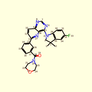 CC1(C)CN(c2ncnc3ccc(-c4cccc(C(=O)N5CCOCC5)c4)nc23)c2ccc(F)cc21